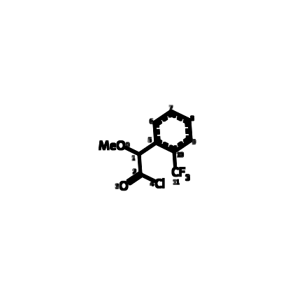 COC(C(=O)Cl)c1ccccc1C(F)(F)F